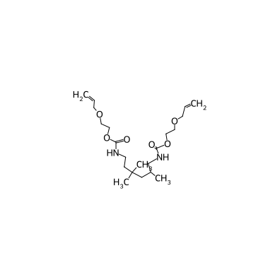 C=CCOCCOC(=O)NCCC(C)(C)CC(C)CNC(=O)OCCOCC=C